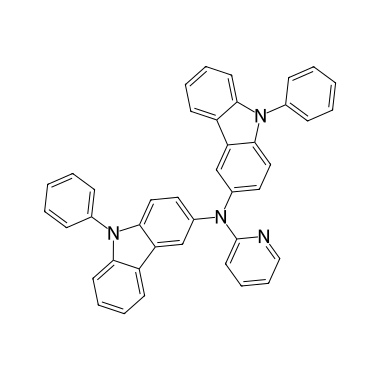 c1ccc(-n2c3ccccc3c3cc(N(c4ccc5c(c4)c4ccccc4n5-c4ccccc4)c4ccccn4)ccc32)cc1